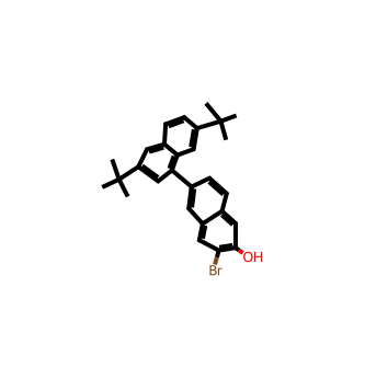 CC(C)(C)c1cc(-c2ccc3cc(O)c(Br)cc3c2)c2cc(C(C)(C)C)ccc2c1